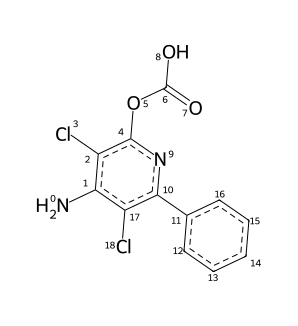 Nc1c(Cl)c(OC(=O)O)nc(-c2ccccc2)c1Cl